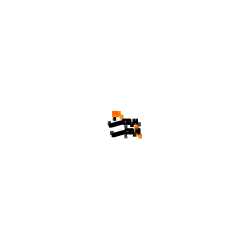 CC(=O)O.CC(=O)O.P.P